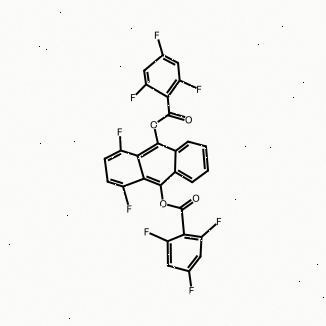 O=C(Oc1c2ccccc2c(OC(=O)c2c(F)cc(F)cc2F)c2c(F)ccc(F)c12)c1c(F)cc(F)cc1F